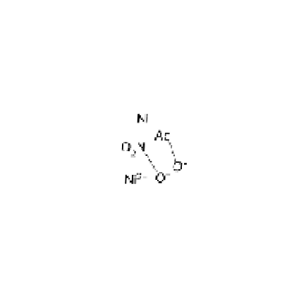 CC(=O)[O-].O=[N+]([O-])[O-].[Ni+2].[Ni]